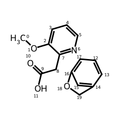 COc1cccnc1CC(=O)O.c1cc2cc(c1)OC2